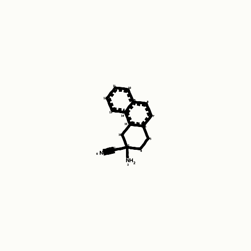 N#CC1(N)CCc2ccc3ccccc3c2C1